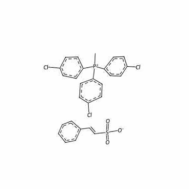 C[P+](c1ccc(Cl)cc1)(c1ccc(Cl)cc1)c1ccc(Cl)cc1.O=S(=O)([O-])C=Cc1ccccc1